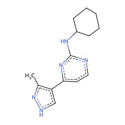 Cc1n[nH]cc1-c1ccnc(NC2CCCCC2)n1